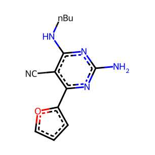 CCCCNc1nc(N)nc(-c2ccco2)c1C#N